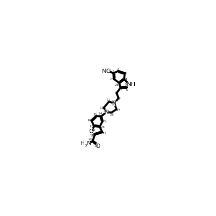 N#Cc1ccc2[nH]cc(CCN3CCN(c4ccc5oc(C(N)=O)cc5c4)CC3)c2c1